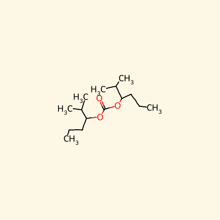 CCCC(OC(=O)OC(CCC)C(C)C)C(C)C